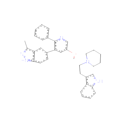 Cc1n[nH]c2ccc(-c3cc(OC[C@@H](Cc4c[nH]c5ccccc45)N4CCCCC4)cnc3-c3ccccc3)cc12